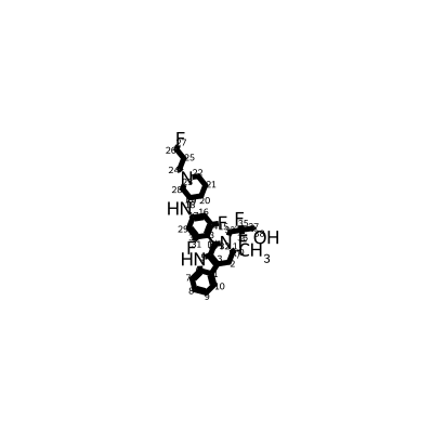 C[C@@H]1Cc2c([nH]c3ccccc23)[C@@H](c2c(F)cc(N[C@H]3CCCN(CCCF)C3)cc2F)N1CC(F)(F)CO